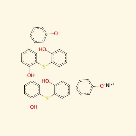 Oc1ccccc1Sc1ccccc1O.Oc1ccccc1Sc1ccccc1O.[Ni+2].[O-]c1ccccc1.[O-]c1ccccc1